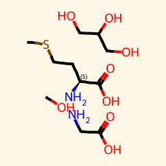 CO.CSCC[C@H](N)C(=O)O.NCC(=O)O.OCC(O)CO